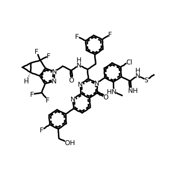 CNc1c(-n2c(C(Cc3cc(F)cc(F)c3)NC(=O)Cn3nc(C(F)F)c4c3C(F)(F)C3C[C@H]43)nc3nc(-c4ccc(F)c(CO)c4)ccc3c2=O)ccc(Cl)c1C(=N)NSC